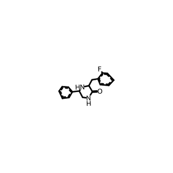 O=C1NCC(c2ccccc2)NC1Cc1ccccc1F